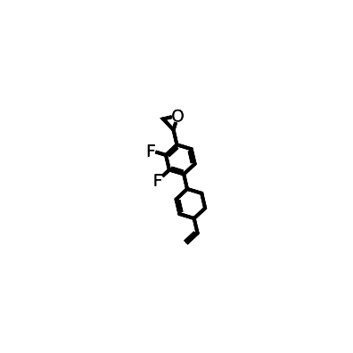 C=CC1C=CC(c2ccc(C3CO3)c(F)c2F)CC1